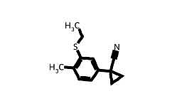 CCSc1cc(C2(C#N)CC2)ccc1C